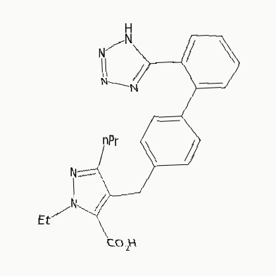 CCCc1nn(CC)c(C(=O)O)c1Cc1ccc(-c2ccccc2-c2nnn[nH]2)cc1